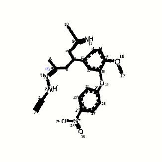 C#CN/N=C(/C)CC(CC(C)=N)c1ccc(OC)c(Oc2ccc([N+](=O)[O-])cc2)c1